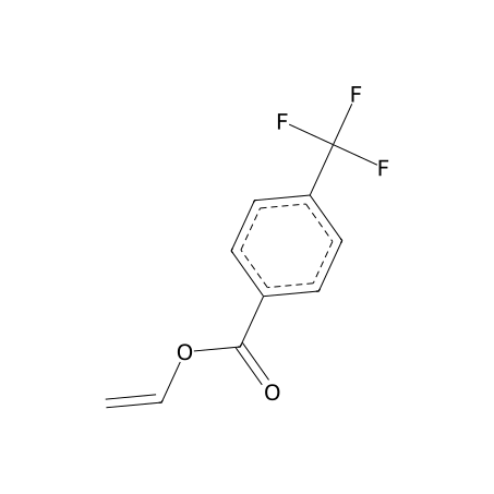 C=COC(=O)c1ccc(C(F)(F)F)cc1